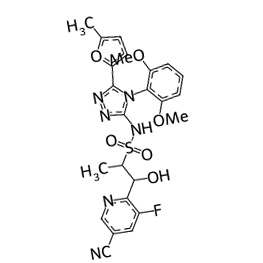 COc1cccc(OC)c1-n1c(NS(=O)(=O)C(C)C(O)c2ncc(C#N)cc2F)nnc1-c1ccc(C)o1